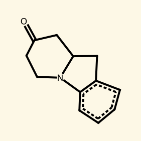 O=C1CCN2c3ccccc3CC2C1